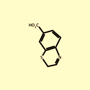 O=C(O)c1ccc2c(c1)SCC=N2